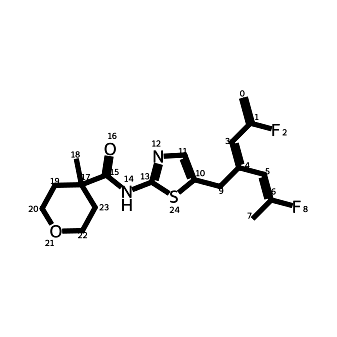 C=C(F)/C=C(\C=C(/C)F)Cc1cnc(NC(=O)C2(C)CCOCC2)s1